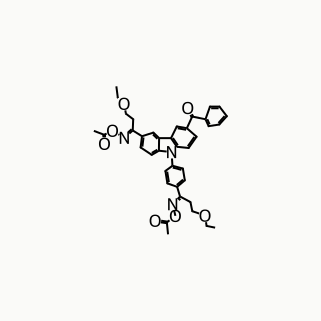 CCOCC/C(=N\OC(C)=O)c1ccc(-n2c3ccc(C(=O)c4ccccc4)cc3c3cc(/C(CCOCC)=N/OC(C)=O)ccc32)cc1